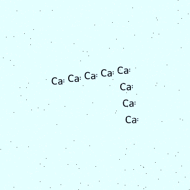 [Ca].[Ca].[Ca].[Ca].[Ca].[Ca].[Ca].[Ca]